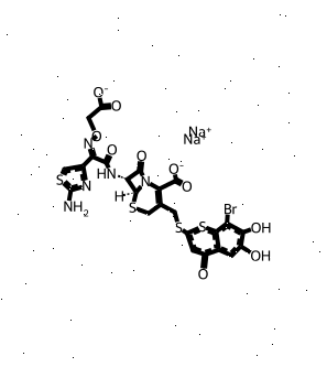 Nc1nc(/C(=N/OCC(=O)[O-])C(=O)N[C@@H]2C(=O)N3C(C(=O)[O-])=C(CSc4cc(=O)c5cc(O)c(O)c(Br)c5s4)CS[C@@H]23)cs1.[Na+].[Na+]